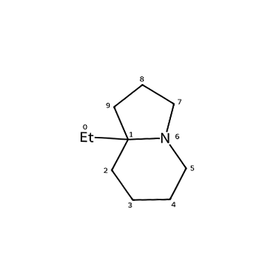 CCC12CCCCN1CCC2